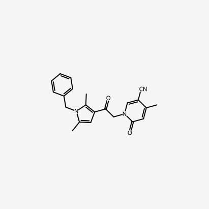 Cc1cc(=O)n(CC(=O)c2cc(C)n(Cc3ccccc3)c2C)cc1C#N